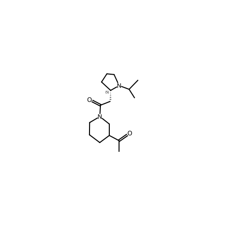 CC(=O)C1CCCN(C(=O)C[C@@H]2CCCN2C(C)C)C1